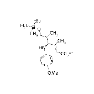 CCOC(=O)C=C(C)[C@@H](Nc1ccc(OC)cc1)[C@@H](C)CO[Si](C)(C)C(C)(C)C